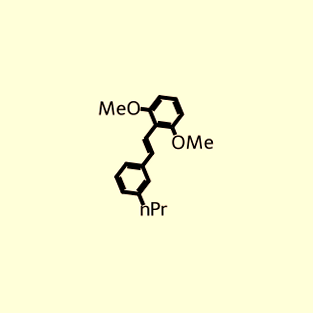 C[CH]Cc1cccc(/C=C/c2c(OC)cccc2OC)c1